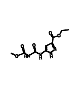 CCOC(=O)c1cc(NC(=O)NC(=O)OC)[nH]n1